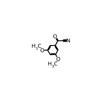 COc1cc(OC)cc(C(=O)C#N)c1